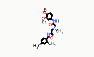 CCOc1ccc(NC(=O)CN(C)Cc2coc(-c3ccc(C)cc3C)n2)cc1OCC